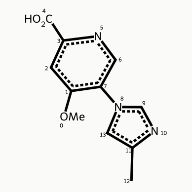 COc1cc(C(=O)O)ncc1-n1cnc(C)c1